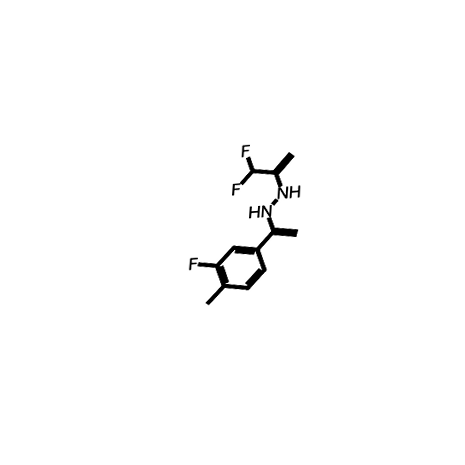 C=C(NNC(=C)C(F)F)c1ccc(C)c(F)c1